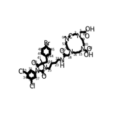 CN1CCN(CC(=O)O)CCN(C(=O)O)CCN(CC(=O)NCCCCN2C(=O)N(c3cc(Cl)cc(Cl)c3)C(=O)[C@]2(C)Cc2ccc(Br)cc2)CC1